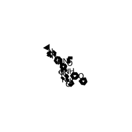 C=CC(=O)Nc1cc(Nc2cc(N3OCC[C@@H]3c3cccc(Oc4ccccc4)c3)ncn2)c(OC)cc1N1CCC(N2CCN(C3CC3)C(C)(C)C2)CC1